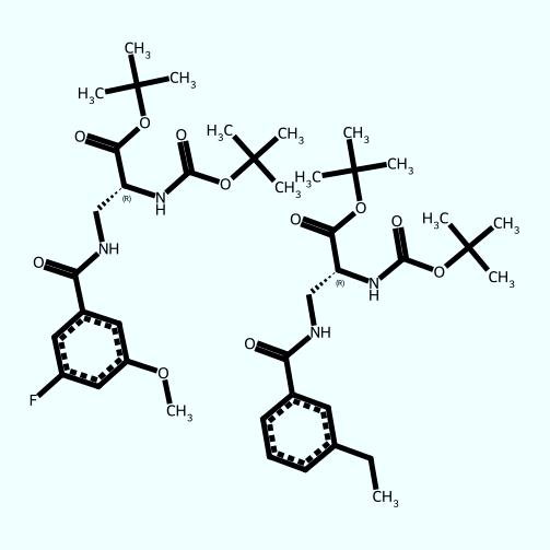 CCc1cccc(C(=O)NC[C@@H](NC(=O)OC(C)(C)C)C(=O)OC(C)(C)C)c1.COc1cc(F)cc(C(=O)NC[C@@H](NC(=O)OC(C)(C)C)C(=O)OC(C)(C)C)c1